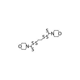 S=C(SSCCSSC(=S)N1CCOCC1)N1CCOCC1